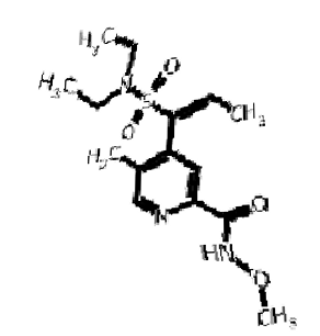 C/C=C(\c1cc(C(=O)NOC)ncc1C)S(=O)(=O)N(CC)CC